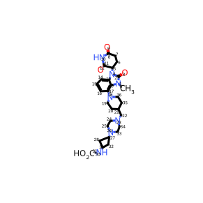 Cn1c(=O)n(C2CCC(=O)NC2=O)c2cccc(N3CCC(CN4CCN(C5CC(NC(=O)O)C5)CC4)CC3)c21